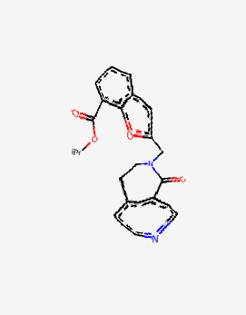 CC(C)OC(=O)c1cccc2cc(CN3CCc4ccncc4C3=O)oc12